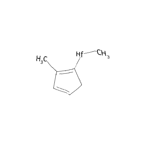 [CH3][Hf][C]1=C(C)C=CC1